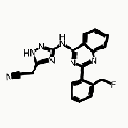 N#CCc1nc(Nc2nc(-c3ccccc3CF)nc3ccccc23)n[nH]1